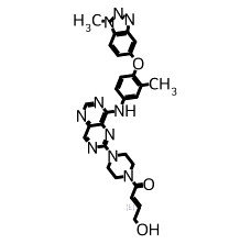 Cc1cc(Nc2ncnc3cnc(N4CCN(C(=O)/C=C/CO)CC4)nc23)ccc1Oc1ccc2c(c1)nnn2C